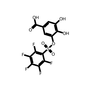 O=C(O)c1cc(O)c(O)c(OS(=O)(=O)c2c(F)c(F)c(F)c(F)c2F)c1